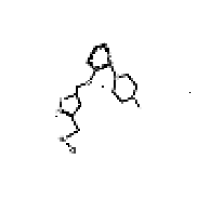 CN1CCN(c2ccccc2OCC2CC(CNCl)=NO2)CC1